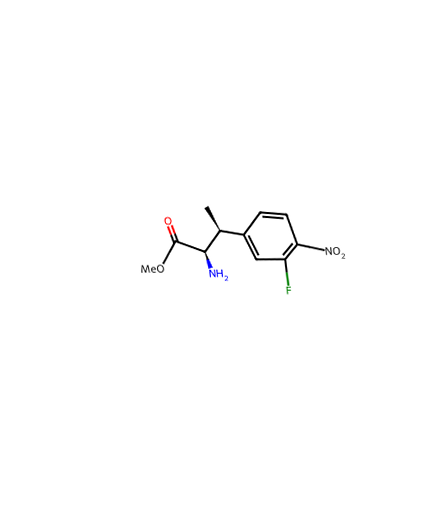 COC(=O)[C@H](N)[C@@H](C)c1ccc([N+](=O)[O-])c(F)c1